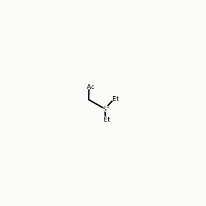 CC[S+](CC)CC(C)=O